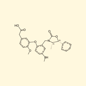 CBc1ccc(Oc2cc(CC(=O)O)ccc2OC)c(CN2C(=O)O[C@H](c3ccccc3)[C@@H]2C)c1